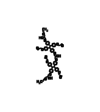 C=CCOCC(O)COc1ccc(C(c2ccc(OCC3CO3)cc2)C(c2ccc(OCC(O)COc3ccc(C(c4ccc(OCC5CO5)cc4)C(c4ccc(OCC(O)COCC=C)cc4)c4ccc(OCC5CO5)cc4)cc3)cc2)c2ccc(OCC3CO3)cc2)cc1